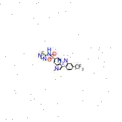 Cn1cc(-c2ccc(C(F)(F)F)cc2N)c2ccc(S(=O)(=O)Nc3ncns3)cc21